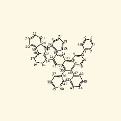 c1ccc(-c2ccc3c(c2)c2ccc(-c4cccc5c6ccccc6n(-c6ccccc6)c45)cc2c2c4ccccc4c4ccccc4c32)cc1